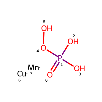 O=P(O)(O)OO.[Cu].[Mn]